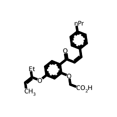 C/C=C(/CC)Oc1ccc(C(=O)/C=C\c2ccc(CCC)cc2)c(OCC(=O)O)c1